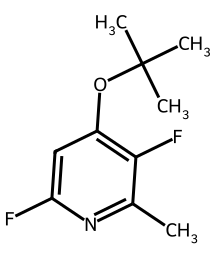 Cc1nc(F)cc(OC(C)(C)C)c1F